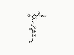 COC(=O)c1cc(Cl)c(CCOC(=O)NNC=[SH]CCCl)s1